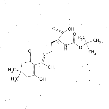 CC(=NCC[C@H](NC(=O)OC(C)(C)C)C(=O)O)C1=C(O)CC(C)(C)CC1=O